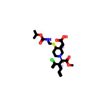 C=C/C=C(\C(=C)Cl)[C@@H](C(=O)OC)N1CCC(SCNC(=O)OC(C)C)/C(=C\C(=O)O)C1